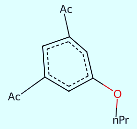 CCCOc1cc(C(C)=O)cc(C(C)=O)c1